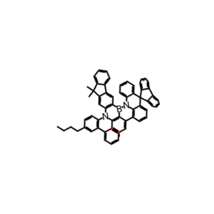 CCCCc1ccc(N2c3cc4c(cc3B3c5c(cc(C)cc52)-c2cccc5c2N3c2ccccc2C52c3ccccc3-c3ccccc32)-c2ccccc2C4(C)C)c(-c2ccccc2)c1